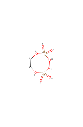 O=S1(=O)OCCOS(=O)(=O)OO1